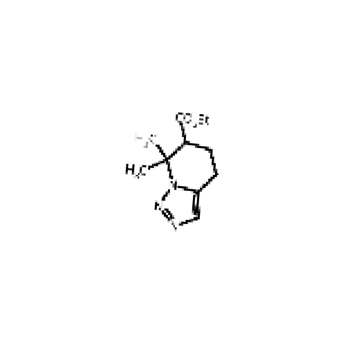 CCOC(=O)C1CCc2cnnn2C1(C)C